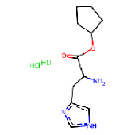 Cl.Cl.NC(Cc1c[nH]cn1)C(=O)OC1CCCC1